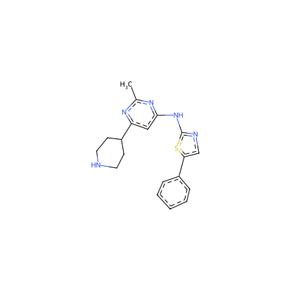 Cc1nc(Nc2ncc(-c3ccccc3)s2)cc(C2CCNCC2)n1